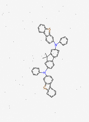 CC1(C)c2cc(N(c3ccccc3)c3ccc4c(c3)sc3ccccc34)ccc2-c2ccc(N(c3ccccc3)c3ccc4c(c3)sc3ccccc34)cc21